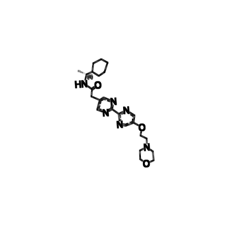 C[C@@H](NC(=O)Cc1cnc(-c2ncc(OCCN3CCOCC3)cn2)nc1)C1CCCCC1